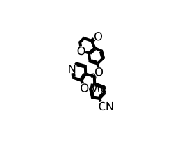 COc1cnccc1[C@H](Oc1ccc2c(c1)OCCC2=O)c1ccc(C#N)cc1